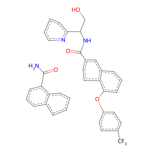 NC(=O)c1cccc2ccccc12.O=C(NC(CO)c1ccccn1)c1ccc2c(Oc3ccc(C(F)(F)F)cc3)cccc2c1